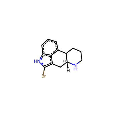 Brc1[nH]c2cccc3c2c1C[C@H]1NC[CH]CC31